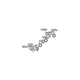 COC[C@H]1C[C@@H](c2nc3ccc4cc5c(cc4c3[nH]2)OCc2cc(-c3cnc([C@@H]4CC[C@H](C)N4C(=O)[C@@H](NC(=O)OC)C(C)C)[nH]3)ccc2-5)N(C(=O)C(NC(=O)OC)c2ccccc2)C1